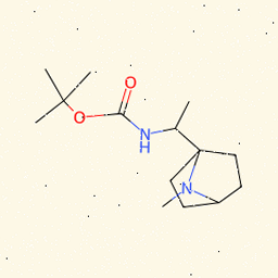 CC(NC(=O)OC(C)(C)C)C12CCC(CC1)N2C